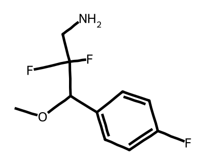 COC(c1ccc(F)cc1)C(F)(F)CN